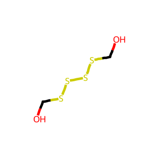 OCSSSSCO